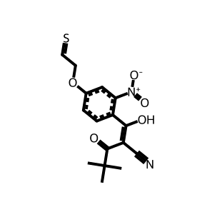 CC(C)(C)C(=O)C(C#N)=C(O)c1ccc(OCC=S)cc1[N+](=O)[O-]